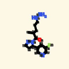 C=C(CCCNN)C(=O)N1N=CCC1c1cncc(F)c1